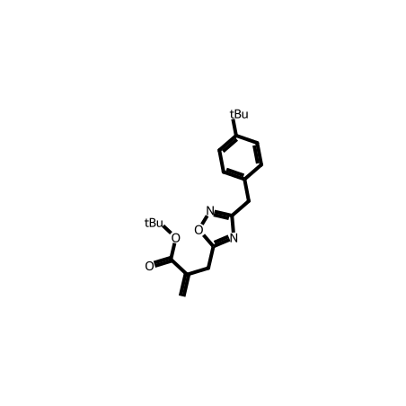 C=C(Cc1nc(Cc2ccc(C(C)(C)C)cc2)no1)C(=O)OC(C)(C)C